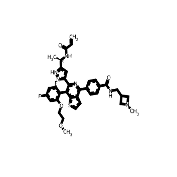 C=CC(=O)N[C@H](C)c1cc(-c2nc(-c3ccc(C(=O)NCC4CN(C)C4)cc3)c3ccsc3c2-c2c(F)cc(F)cc2OCCOC)n[nH]1